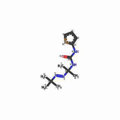 CC(C)(C)N=NC(C)(C)NC(=O)Nc1cccs1